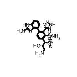 NC[C@H](O)C(c1ccc(-c2cccc3[nH]c(N)nc23)c(-c2nn[nH]n2)c1S(N)(=O)=O)[SH](=O)=O